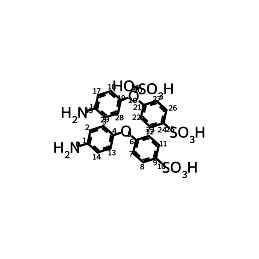 Nc1ccc(Oc2ccc(S(=O)(=O)O)cc2)cc1.Nc1ccc(Oc2ccc(S(=O)(=O)O)cc2)cc1.O=S(=O)(O)O